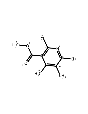 COC(=O)c1c(Cl)nc(Cl)c(C)c1C